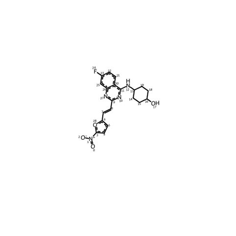 O=[N+]([O-])c1ccc(C=Cc2nc(NC3CCC(O)CC3)c3ccc(F)cc3n2)o1